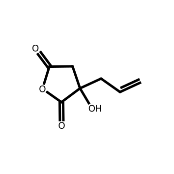 C=CCC1(O)CC(=O)OC1=O